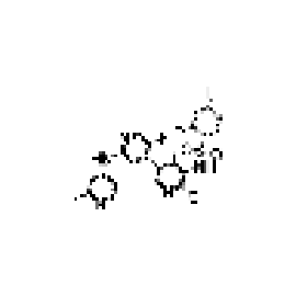 Cc1cc(Nc2cc(-c3cnc(Cl)c(NS(=O)(=O)c4ccc(F)cc4F)c3C)c(F)cn2)ccn1